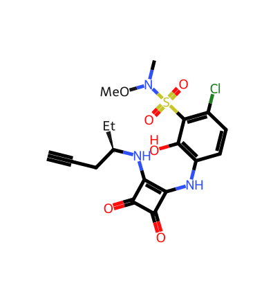 C#CC[C@@H](CC)Nc1c(Nc2ccc(Cl)c(S(=O)(=O)N(C)OC)c2O)c(=O)c1=O